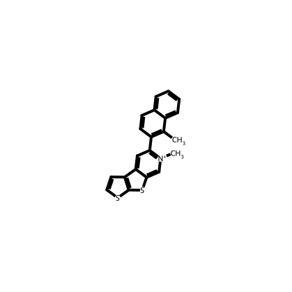 Cc1c(-c2cc3c(c[n+]2C)sc2sccc23)ccc2ccccc12